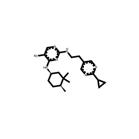 C[C@H]1CC[C@@H](Nc2nc(NCCc3cnc(C4CC4)nc3)ncc2C#N)CC1(C)C